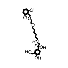 OCc1cc([C@@](O)(F)CNCCCCCCOCCOCc2c(Cl)cccc2Cl)ccc1O